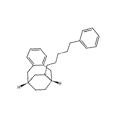 c1ccc(CCCCCN2C[C@@H]3CC[C@H]2Cc2ccccc2C3)cc1